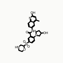 Cc1cc(O)nc2ccc(NC(=O)c3cc(S(=O)(=O)C4CNCCO4)ccc3N3CCC(O)C3)cc12